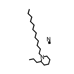 C#N.CCCCCCCCCCCCN1CCCCC1CCC